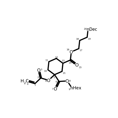 C=CC(=O)OC1(C(=O)OCCCCCC)CCCC(C(=O)OCCCCCCCCCCCCC)C1